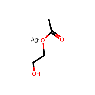 CC(=O)OCCO.[Ag]